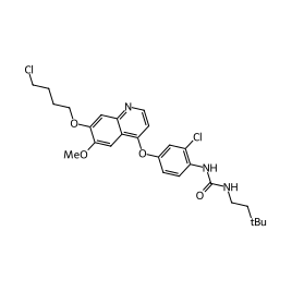 COc1cc2c(Oc3ccc(NC(=O)NCCC(C)(C)C)c(Cl)c3)ccnc2cc1OCCCCCl